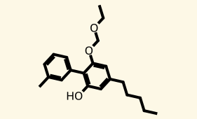 CCCCCc1cc(O)c(-c2cccc(C)c2)c(OCOCC)c1